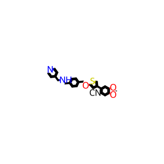 N#Cc1c(-c2ccc3c(c2)OCO3)csc1OCc1ccc(CNCc2ccncc2)cc1